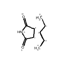 CCCCC.O=C1CCC(=O)N1